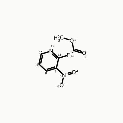 COC=O.O=[N+]([O-])c1cccnc1F